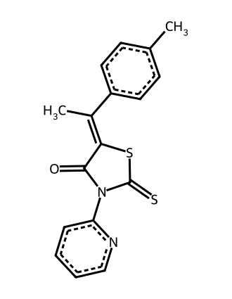 C/C(=C1/SC(=S)N(c2ccccn2)C1=O)c1ccc(C)cc1